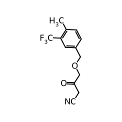 Cc1ccc(COCC(=O)CC#N)cc1C(F)(F)F